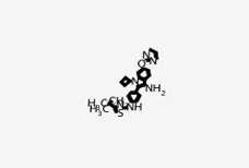 CC(C)(C)c1csc(Nc2ccc(-c3c(N)c4ccc(Oc5ncccn5)cc4n3C3CCC3)cc2)n1